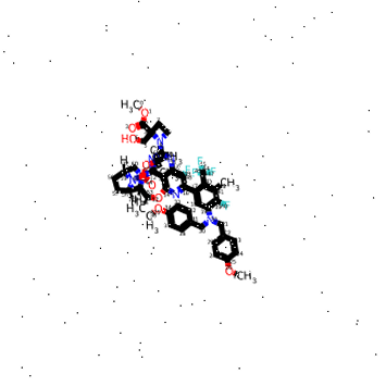 COC(=O)C1(CO)CCN1c1nc2c3c(nc(-c4cc(N(Cc5ccc(OC)cc5)Cc5ccc(OC)cc5)c(F)c(C)c4C(F)(F)F)c(F)c3n1)O[C@@H](C)[C@@H]1[C@@H]3CC[C@H](CN21)N3C(=O)OC(C)(C)C